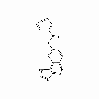 O=C(Cc1ccc2ncc3nc[nH]c3c2c1)c1ccccc1